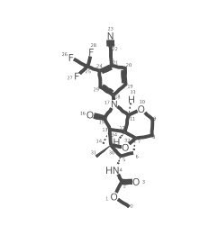 COC(=O)N[C@H]1C[C@@]23CCO[C@H]4[C@@H]2[C@](C)(C(=O)N4c2ccc(C#N)c(C(F)(F)F)c2)[C@]1(C)O3